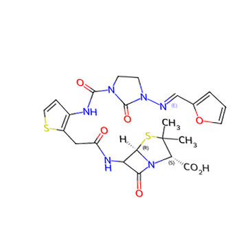 CC1(C)S[C@@H]2C(NC(=O)Cc3sccc3NC(=O)N3CCN(/N=C/c4ccco4)C3=O)C(=O)N2[C@H]1C(=O)O